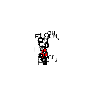 CC(C)(O)C#Cc1ccc(-c2cnc3[nH]ccc3c2F)c([C@H](Cc2cc(F)cc(F)c2)NC(=O)Cn2nc(C(F)(F)F)c3c2C(F)(F)[C@@H]2CC[C@H]32)n1